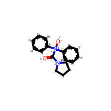 O=C(N1CCCC1)[N+]([O-])(c1cc[c]cc1)c1ccccc1